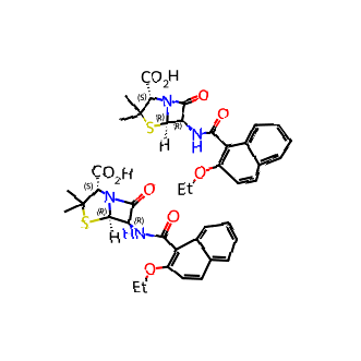 CCOc1ccc2ccccc2c1C(=O)N[C@@H]1C(=O)N2[C@@H]1SC(C)(C)[C@@H]2C(=O)O.CCOc1ccc2ccccc2c1C(=O)N[C@@H]1C(=O)N2[C@@H]1SC(C)(C)[C@@H]2C(=O)O